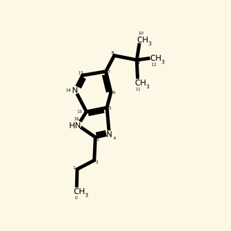 CCCc1nc2cc(CC(C)(C)C)cnc2[nH]1